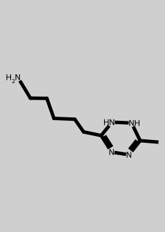 CC1=NN=C(CCCCCN)NN1